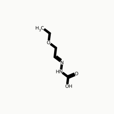 CCOCC=NNC(=O)O